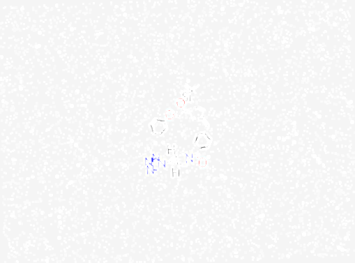 CC(C)(C)[Si](C)(C)O[C@H](COc1ccccc1)[C@H]1CCC(Cc2ccc(C(=O)N3C[C@@H]4[C@H](C3)[C@H]4n3cnnn3)cc2)C1